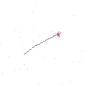 CCCCCCCCCCCCCCCCCCCCCCCCCC[N+](=O)[O-]